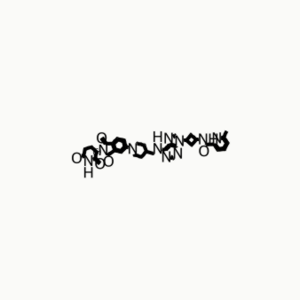 Cc1cccc(C(=O)NC2CC(n3cnc4c(NCC5CCN(c6ccc7c(c6)C(=O)N([C@H]6CCC(=O)NC6=O)C7=O)CC5)ncnc43)C2)n1